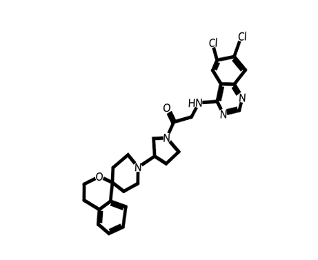 O=C(CNc1ncnc2cc(Cl)c(Cl)cc12)N1CCC(N2CCC3(CC2)OCCc2ccccc23)C1